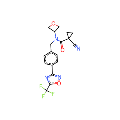 N#CC1(C(=O)N(Cc2ccc(-c3noc(C(F)(F)F)n3)cc2)C2COC2)CC1